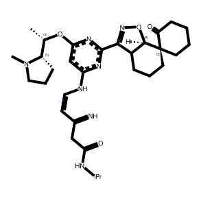 CC(C)NC(=O)CC(=N)/C=C\Nc1cc(O[C@@H](C)[C@@H]2CCCN2C)nc(C2=NO[C@@H]3C2CCC[C@@]32CCCCC2=O)n1